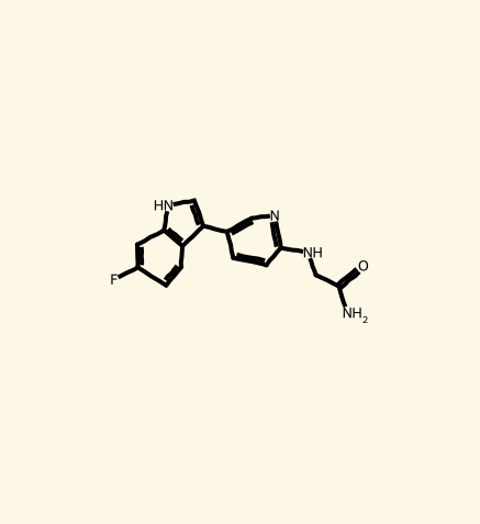 NC(=O)CNc1ccc(-c2c[nH]c3cc(F)ccc23)cn1